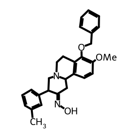 COc1ccc2c(c1OCc1ccccc1)CCN1CC(c3cccc(C)c3)C(=NO)CC21